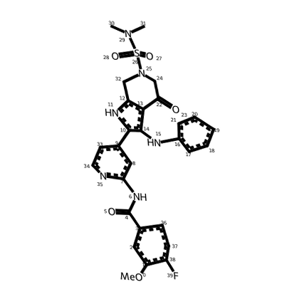 COc1cc(C(=O)Nc2cc(-c3[nH]c4c(c3Nc3ccccc3)C(=O)CN(S(=O)(=O)N(C)C)C4)ccn2)ccc1F